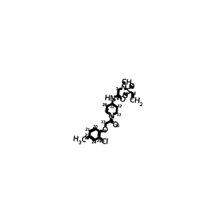 C=CS(=O)(=O)N(C)CC(=O)NC1CCN(C(=O)COc2ccc(C)cc2Cl)CC1